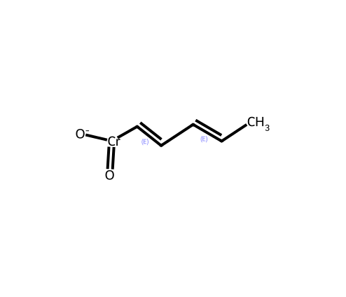 C/C=C/C=[CH]/[Cr](=[O])[O-]